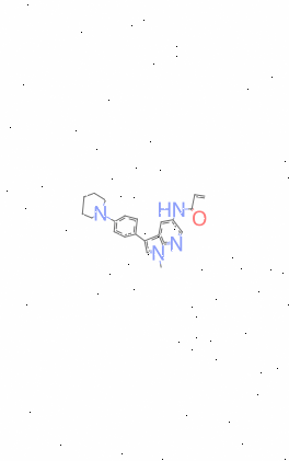 C=CC(=O)Nc1cnc2c(c1)c(-c1ccc(N3CCCCC3)cc1)cn2C